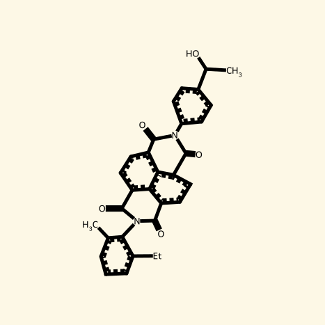 CCc1cccc(C)c1N1C(=O)c2ccc3c4c(ccc(c24)C1=O)C(=O)N(c1ccc(C(C)O)cc1)C3=O